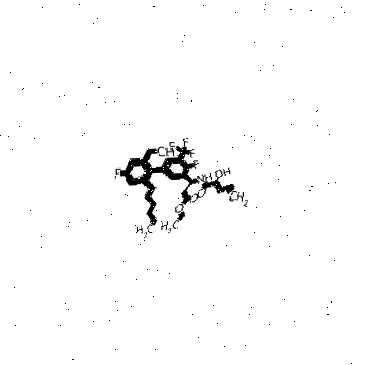 C=CCCCCc1cc(F)cc(CC)c1-c1cc([C@H](CC(=O)OCC)NC(=O)[C@H](O)CC=C)c(F)c(C(F)(F)F)c1